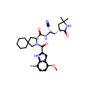 COc1ccc(F)c2[nH]c(C(=O)N3CC4(CCCCC4)C[C@H]3C(=O)N[C@H](C#N)C[C@@H]3CC(C)(C)NC3=O)cc12